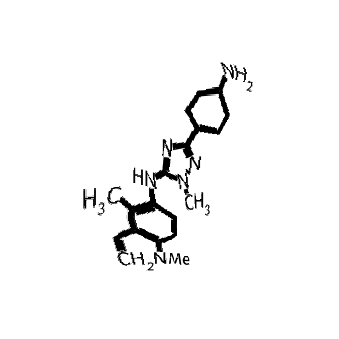 C=Cc1c(NC)ccc(Nc2nc(C3=CCC(N)CC3)nn2C)c1C